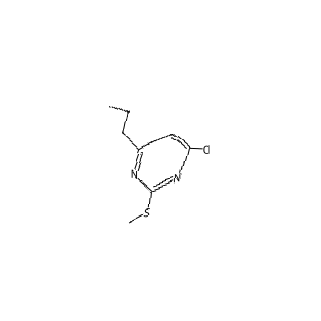 CCCc1cc(Cl)nc(SC)n1